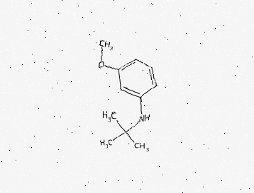 COc1cccc(NC(C)(C)C)c1